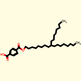 CCCCCCCCC(CCCCCCCC)CCCCCCCCOC(=O)c1ccc(C(=O)O)cc1